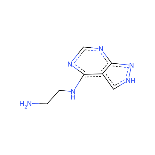 NCCNc1ncnc2n[nH]cc12